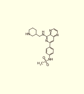 CS(=O)(=O)Nc1ccc(-c2cc3nccnc3c(NCC3CCCNC3)n2)cc1